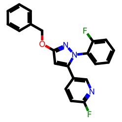 Fc1ccc(-c2cc(OCc3ccccc3)nn2-c2ccccc2F)cn1